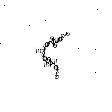 O=C1NC(Cc2ccc(OCC3CO3)cc2)CNC1Cc1ccc(OCC(O)COc2ccc(CC3NC(=O)C(Cc4ccc(OCC5CO5)cc4)NC3=O)cc2)cc1